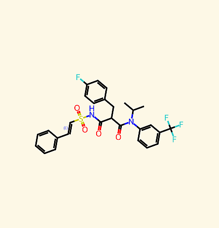 CC(C)N(C(=O)C(Cc1ccc(F)cc1)C(=O)NS(=O)(=O)/C=C/c1ccccc1)c1cccc(C(F)(F)F)c1